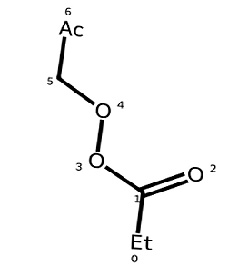 CCC(=O)OOCC(C)=O